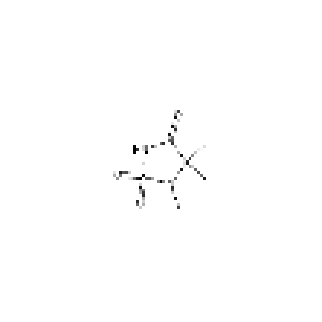 CN1C(C)(C)C(=O)NS1(=O)=O